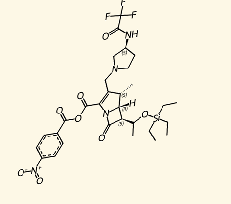 CC[Si](CC)(CC)OC(C)[C@H]1C(=O)N2C(C(=O)OC(=O)c3ccc([N+](=O)[O-])cc3)=C(CN3CC[C@H](NC(=O)C(F)(F)F)C3)[C@H](C)[C@H]12